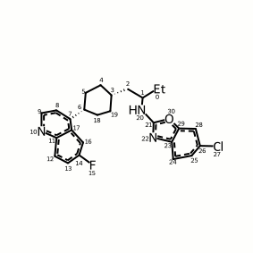 CCC(C[C@H]1CC[C@@H](c2ccnc3ccc(F)cc32)CC1)Nc1nc2ccc(Cl)cc2o1